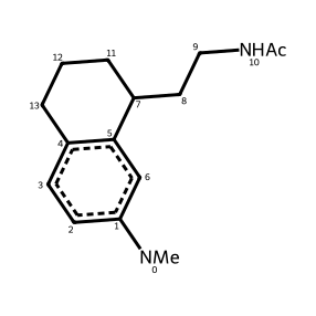 CNc1ccc2c(c1)C(CCNC(C)=O)CCC2